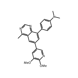 COc1cc(-c2cc(-c3ccc(N(C)C)cc3)c3ncnc(C)c3c2)cnc1OC